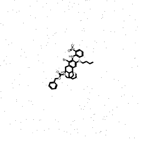 CCCCOc1cc2c(c(Br)c1Nc1ccccc1[N+](=O)[O-])C[C@H]1C3CCCC[C@@]23CCCN1C(=O)OCc1ccccc1